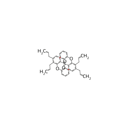 C=CCc1ccc(S(=O)(=O)c2ccc(CC=C)c(CC=C)c2Oc2ccccc2)c(Oc2ccccc2)c1CC=C